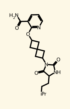 CC(C)CCC1NC(=O)N(C2CC3(CC(Oc4ncccc4C(N)=O)C3)C2)C1=O